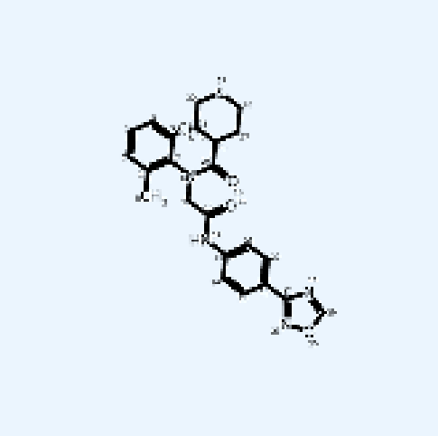 Cc1cccc(C)c1N(CC(=O)Nc1ccc(-c2ncon2)cc1)C(=O)C1CCSCC1